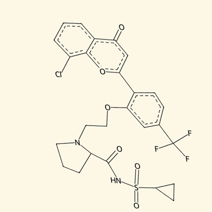 O=C(NS(=O)(=O)C1CC1)C1CCCN1CCOc1cc(C(F)(F)F)ccc1-c1cc(=O)c2cccc(Cl)c2o1